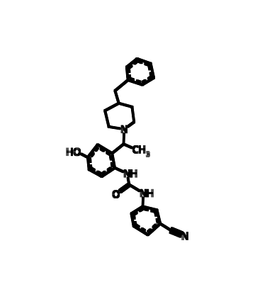 CC(c1cc(O)ccc1NC(=O)Nc1cccc(C#N)c1)N1CCC(Cc2ccccc2)CC1